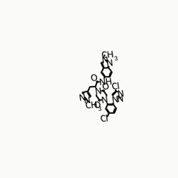 Cn1cc(CC(C(=O)Nc2ccc3nn(C)cc3c2)N2CC(=O)N(c3cc(Cl)ccc3-n3cc(Cl)nn3)CC2=O)cn1